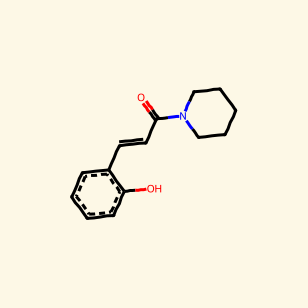 O=C(C=Cc1ccccc1O)N1CCCCC1